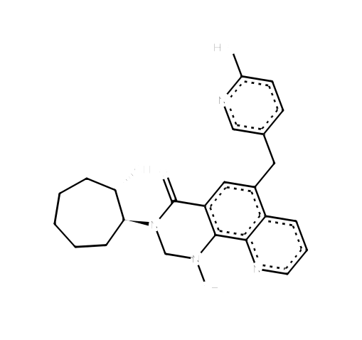 Cc1ccc(Cc2cc3c(c4ncccc24)N(C)CN([C@H]2CCCCC[C@@H]2O)C3=O)cn1